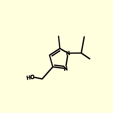 Cc1cc(CO)nn1C(C)C